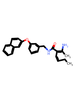 CC/C=C\C(C(=O)NCc1cccc(Oc2ccc3ccccc3c2)c1)=C(/C)N